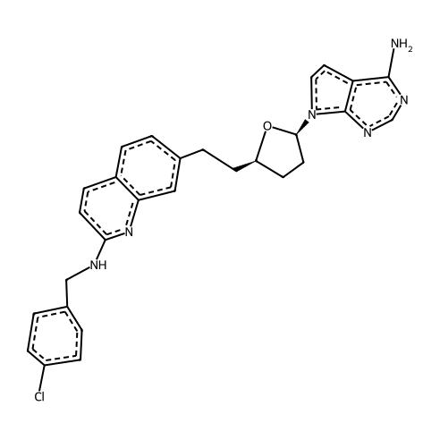 Nc1ncnc2c1ccn2[C@H]1CC[C@@H](CCc2ccc3ccc(NCc4ccc(Cl)cc4)nc3c2)O1